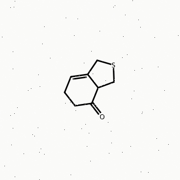 O=C1CCC=C2CSCC12